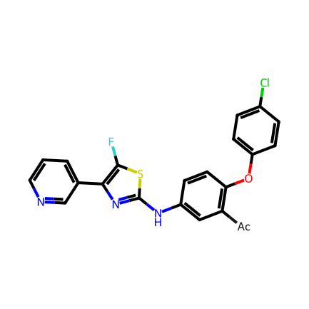 CC(=O)c1cc(Nc2nc(-c3cccnc3)c(F)s2)ccc1Oc1ccc(Cl)cc1